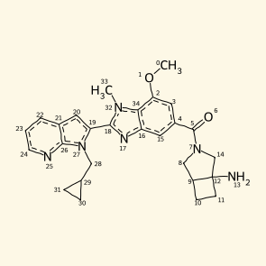 COc1cc(C(=O)N2CC3CCC3(N)C2)cc2nc(-c3cc4cccnc4n3CC3CC3)n(C)c12